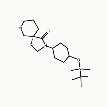 CC(C)(C)[Si](C)(C)OC1CCC(N2CC[C@]3(CCCNC3)C2=O)CC1